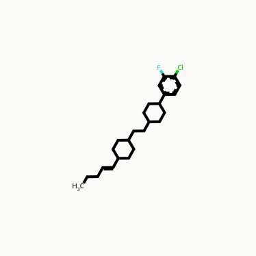 CCCC=CC1CCC(CCC2CCC(c3ccc(Cl)c(F)c3)CC2)CC1